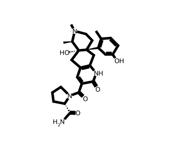 Cc1ccc(O)cc1[C@]12CCN(C)[C@H](C)[C@]1(O)Cc1cc(C(=O)N3CCC[C@H]3C(N)=O)c(=O)[nH]c1C2